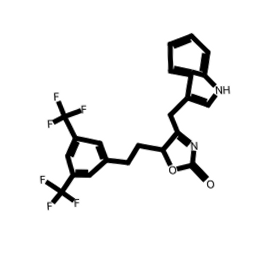 O=C1N=C(Cc2c[nH]c3ccccc23)C(CCc2cc(C(F)(F)F)cc(C(F)(F)F)c2)O1